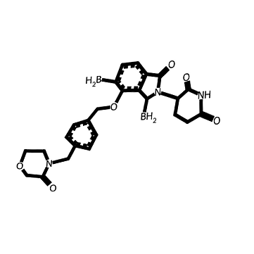 Bc1ccc2c(c1OCc1ccc(CN3CCOCC3=O)cc1)C(B)N(C1CCC(=O)NC1=O)C2=O